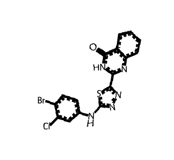 O=c1[nH]c(-c2nnc(Nc3ccc(Br)c(Cl)c3)s2)nc2ccccc12